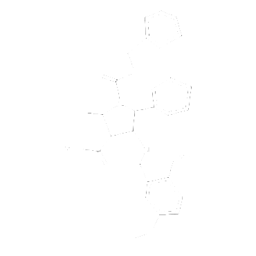 COC(=O)C1C(NCc2cc(OC(F)(F)F)ccc2OC)C(c2ccccc2)N(C(=O)OCc2ccccc2)C1C